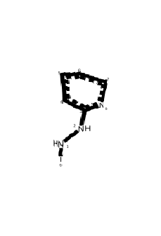 INNc1ccccn1